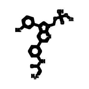 C=CC(=O)Nc1cccc(-c2cnc3c(c2)c(-c2cccc(C#N)c2)cn3COP(=O)(O)OCC)c1